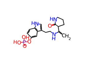 C=C(NCCc1c[nH]c2ccc(OP(=O)(O)O)cc12)C1CCCNC1=O